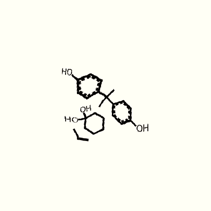 CC(C)(c1ccc(O)cc1)c1ccc(O)cc1.CCC.OC1(O)CCCCC1